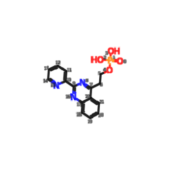 O=P(O)(O)OCCc1nc(-c2ccccn2)nc2ccccc12